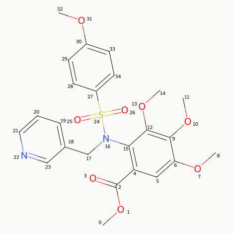 COC(=O)c1cc(OC)c(OC)c(OC)c1N(Cc1cccnc1)S(=O)(=O)c1ccc(OC)cc1